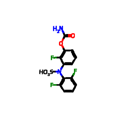 NC(=O)Oc1cccc(N(c2c(F)cccc2F)S(=O)(=O)O)c1F